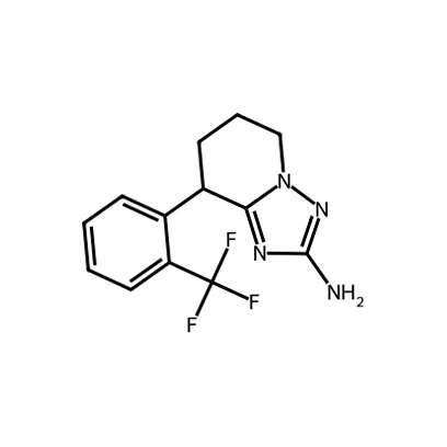 Nc1nc2n(n1)CCCC2c1ccccc1C(F)(F)F